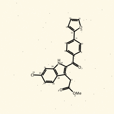 COC(=O)Cc1c(C(=O)c2ccc(-c3ccco3)cc2)[nH]c2cc(Cl)ccc12